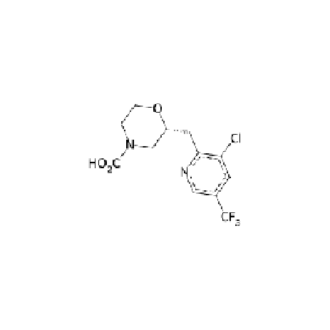 O=C(O)N1CCO[C@H](Cc2ncc(C(F)(F)F)cc2Cl)C1